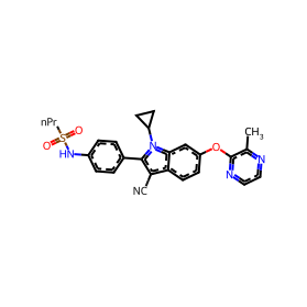 CCCS(=O)(=O)Nc1ccc(-c2c(C#N)c3ccc(Oc4nccnc4C)cc3n2C2CC2)cc1